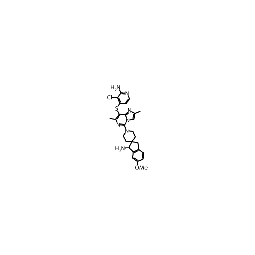 COc1ccc2c(c1)[C@@H](N)C1(CCN(c3nc(C)c(Sc4ccnc(N)c4Cl)c4nc(C)cn34)CC1)C2